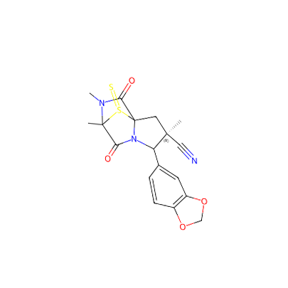 CN1C(=O)C23C[C@@](C)(C#N)C(c4ccc5c(c4)OCO5)N2C(=O)C1(C)S3=S